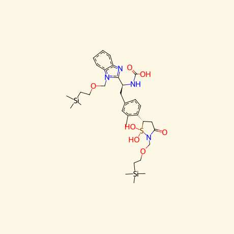 Cc1cc(C[C@H](NC(=O)O)c2nc3ccccc3n2COCC[Si](C)(C)C)ccc1[C@@H]1CC(=O)N(COCC[Si](C)(C)C)S1(O)O